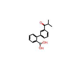 CC(C)C(=O)c1cccc(-c2ccccc2B(O)O)c1